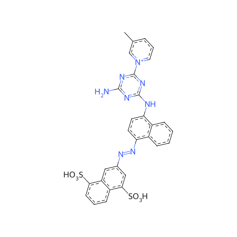 Cc1ccc[n+](-c2nc(N)nc(Nc3ccc(N=Nc4cc(S(=O)(=O)O)c5cccc(S(=O)(=O)O)c5c4)c4ccccc34)n2)c1